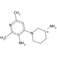 Cc1cc(N2CCC[C@@H](N)C2)c(N)c(C)n1